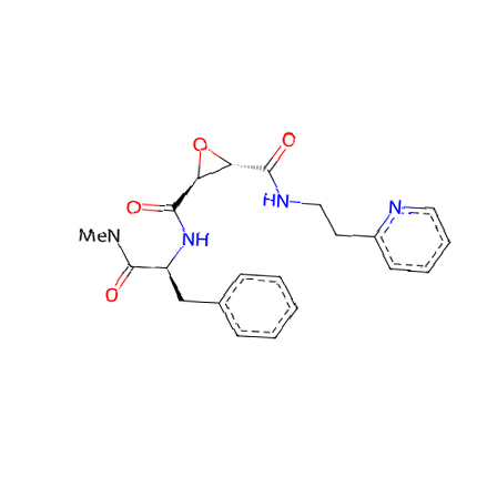 CNC(=O)[C@H](Cc1ccccc1)NC(=O)[C@H]1O[C@@H]1C(=O)NCCc1ccccn1